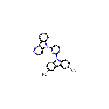 N#Cc1ccc2c(c1)c1cc(C#N)ccc1n2-c1cccc(-n2c3ccccc3c3cnccc32)n1